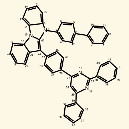 c1ccc(-c2ccc(-n3c4ccccc4n4c5ccccc5c(-c5ccc(-c6cc(-c7ccccc7)nc(-c7ccccc7)n6)cc5)c34)cc2)cc1